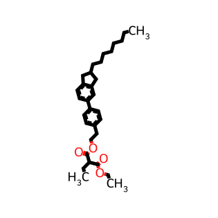 CCCCCCCCC1Cc2ccc(-c3ccc(CCOC(=O)C(CC)C(=O)OCC)cc3)cc2C1